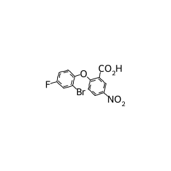 O=C(O)c1cc([N+](=O)[O-])ccc1Oc1ccc(F)cc1Br